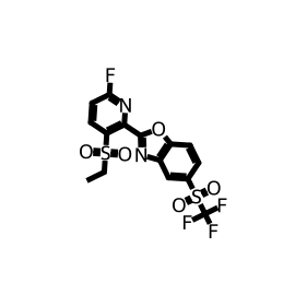 CCS(=O)(=O)c1ccc(F)nc1-c1nc2cc(S(=O)(=O)C(F)(F)F)ccc2o1